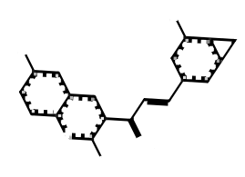 C=C(/C=C/c1cc(C)c2c(c1)C2)c1cc2cc(C)ccc2nc1CC